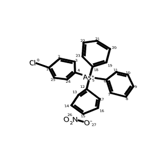 Clc1ccc([As+](c2ccccc2)(c2ccccc2)c2ccccc2)cc1.O=[N+]([O-])[O-]